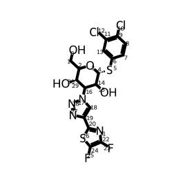 OCC1O[C@H](Sc2ccc(Cl)c(Cl)c2)C(O)C(n2cc(-c3nc(F)c(F)s3)nn2)[C@H]1O